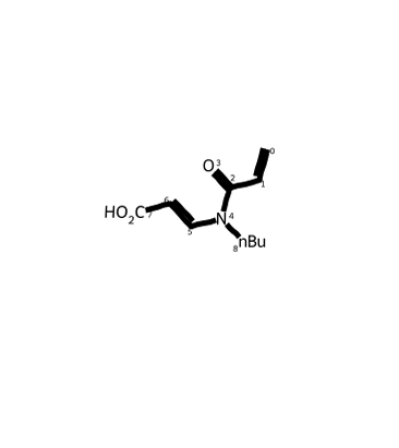 C=CC(=O)N(C=CC(=O)O)CCCC